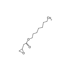 CCCCCCCCOC(=O)CC1CO1